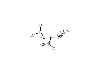 [Ba+2].[Mg+2].[O-]B([O-])[O-].[O-]B([O-])[O-].[Sr+2]